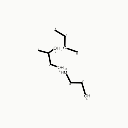 CC(O)CO.CCOC.OCCO